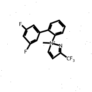 C[N+]1(c2ccccc2-c2cc(F)cc(F)c2)C=CC(C(F)(F)F)=N1